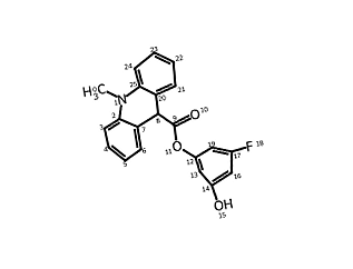 CN1c2ccccc2C(C(=O)Oc2cc(O)cc(F)c2)c2ccccc21